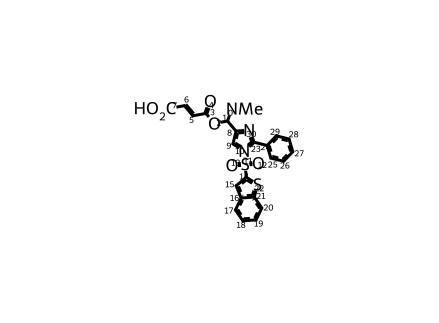 CNC(OC(=O)/C=C/C(=O)O)c1cn(S(=O)(=O)c2cc3ccccc3s2)c(-c2ccccc2)n1